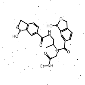 CCNC(=O)CN(C(=O)c1ccc2c(c1)B(O)OC2)C(C)CNC(=O)c1ccc2c(c1)B(O)OC2